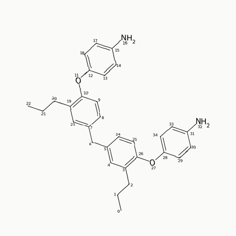 CCCc1cc(Cc2ccc(Oc3ccc(N)cc3)c(CCC)c2)ccc1Oc1ccc(N)cc1